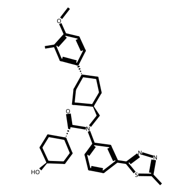 COc1ccc([C@H]2CC[C@H](CN(c3cccc(-c4nnc(C)s4)c3)C(=O)[C@H]3CC[C@H](O)CC3)CC2)cc1C